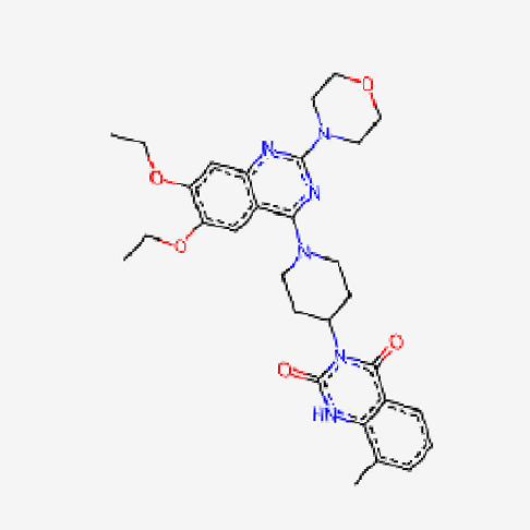 CCOc1cc2nc(N3CCOCC3)nc(N3CCC(n4c(=O)[nH]c5c(C)cccc5c4=O)CC3)c2cc1OCC